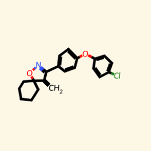 C=C1C(c2ccc(Oc3ccc(Cl)cc3)cc2)=NOC12CCCCC2